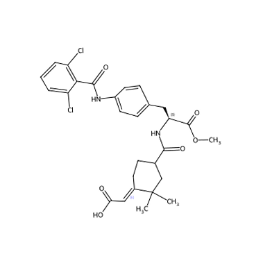 COC(=O)[C@H](Cc1ccc(NC(=O)c2c(Cl)cccc2Cl)cc1)NC(=O)C1CC/C(=C\C(=O)O)C(C)(C)C1